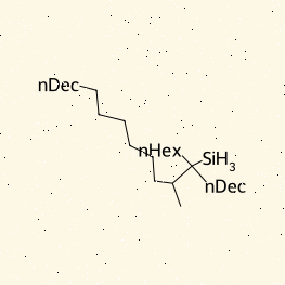 CCCCCCCCCCCCCCCCC(C)C([SiH3])(CCCCCC)CCCCCCCCCC